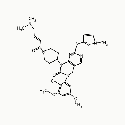 COc1cc(OC)c(Cl)c(N2Cc3cnc(Nc4ccn(C)n4)nc3N(C3CCN(C(=O)/C=C/CN(C)C)CC3)C2=O)c1